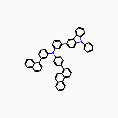 c1ccc(-n2c3ccccc3c3cc(-c4cccc(N(c5ccc(-c6cccc7c6ccc6ccccc67)cc5)c5cccc(-c6cccc7ccccc67)c5)c4)ccc32)cc1